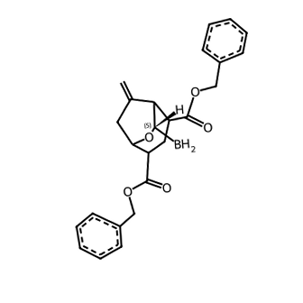 B[C@@H]1OC2CC(=C)C1C(C(=O)OCc1ccccc1)CC2C(=O)OCc1ccccc1